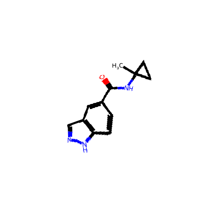 CC1(NC(=O)c2ccc3[nH]ncc3c2)CC1